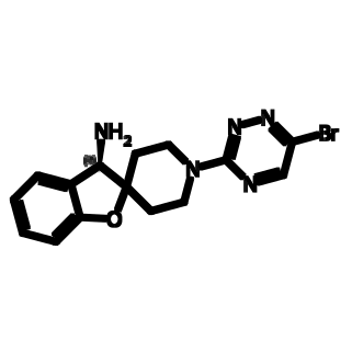 N[C@@H]1c2ccccc2OC12CCN(c1ncc(Br)nn1)CC2